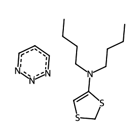 CCCCN(CCCC)C1=CSCS1.c1cnnnc1